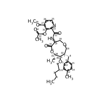 CCCCCO[C@@H]1[C@@H](Cc2ccc(C)cc2)COC[C@H](NC(=O)c2nccc(OC)c2OC(C)=O)C(=O)O[C@H]1C